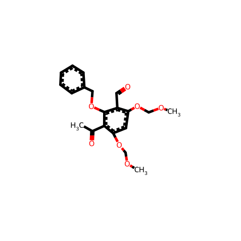 COCOc1cc(OCOC)c(C(C)=O)c(OCc2ccccc2)c1C=O